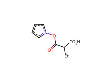 CCC(C(=O)O)C(=O)On1cccc1